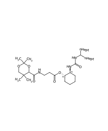 CCCCCCCC(CCCCCCC)NC(=O)N[C@H]1CCCC[C@@H]1OC(=O)CCNC(=O)C1OC(C)(C)OCC1(C)C